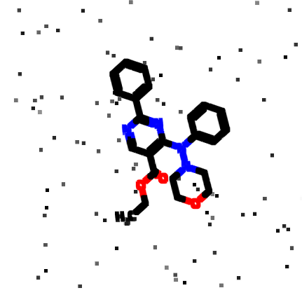 CCOC(=O)c1cnc(-c2ccccc2)nc1N(c1ccccc1)N1CCOCC1